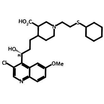 COc1ccc2ncc(Cl)c([C@H](O)CCC3CCN(CCSC4CCCCC4)CC3C(=O)O)c2c1